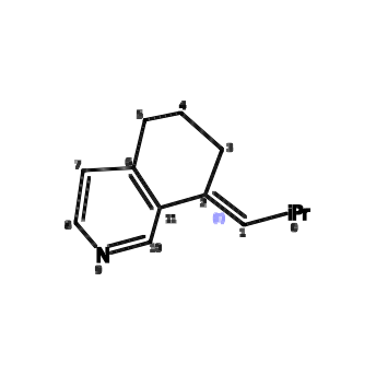 CC(C)/C=C1\CCCc2ccncc21